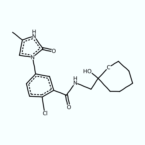 Cc1cn(-c2ccc(Cl)c(C(=O)NCC3(O)CCCCCC3)c2)c(=O)[nH]1